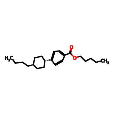 CCCCCOC(=O)c1ccc([C@H]2CC[C@H](CCCC)CC2)cc1